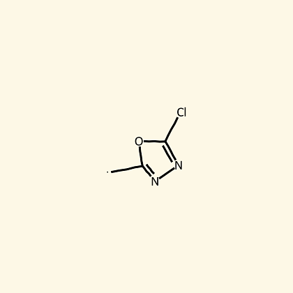 [CH2]c1nnc(Cl)o1